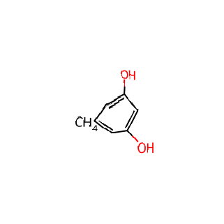 C.Oc1cccc(O)c1